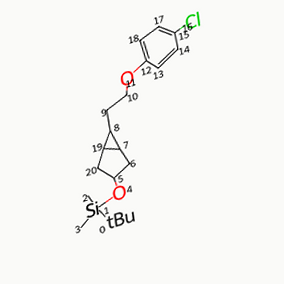 CC(C)(C)[Si](C)(C)OC1CC2C(CCOc3ccc(Cl)cc3)C2C1